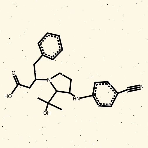 CC(C)(O)C1C(Nc2ccc(C#N)cc2)CCN1C(CC(=O)O)Cc1ccccc1